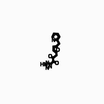 O=C(Cc1ccc(Cc2ccccn2)o1)C(=O)c1nn[nH]n1